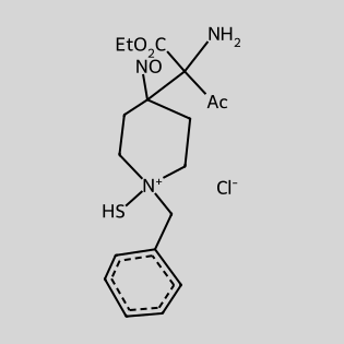 CCOC(=O)C(N)(C(C)=O)C1(N=O)CC[N+](S)(Cc2ccccc2)CC1.[Cl-]